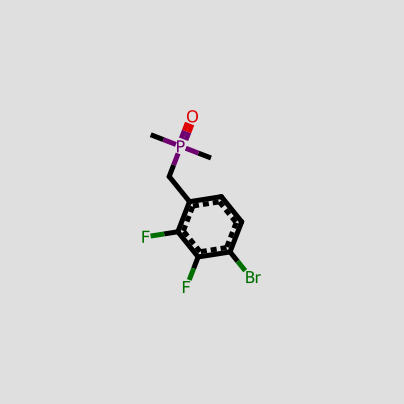 CP(C)(=O)Cc1ccc(Br)c(F)c1F